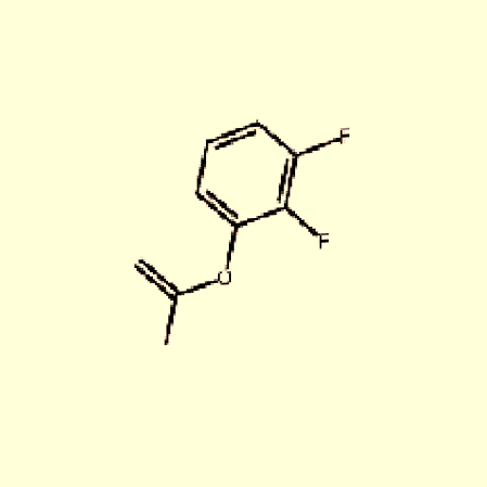 C=C(C)Oc1cccc(F)c1F